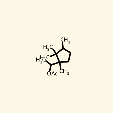 CC(=O)OC(C)C1(C)CCC(C)C1(C)C